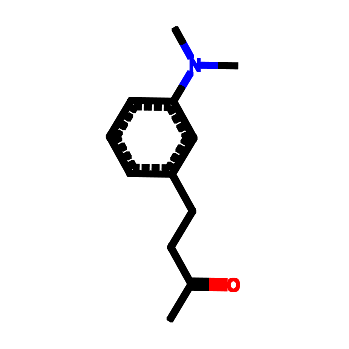 CC(=O)CCc1cccc(N(C)C)c1